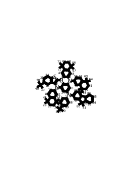 CC(C)(C)c1ccc(N(c2cc3c4c(c2)N(c2ccc5c(c2)C(C)(C)CCC5(C)C)c2c(sc5ccc(C(C)(C)C)cc25)B4c2cc4c(cc2N3c2ccc3c(c2)C(C)(C)CCC3(C)C)C(C)(C)CCC4(C)C)c2ccc3c(c2)C(C)(C)c2ccccc2-3)cc1